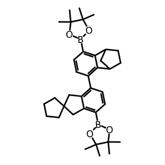 CC1(C)OB(c2ccc(-c3ccc(B4OC(C)(C)C(C)(C)O4)c4c3C3CCC4C3)c3c2CC2(CCCC2)C3)OC1(C)C